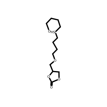 O=C1OCC(COCCCC[SiH]2CCCCO2)O1